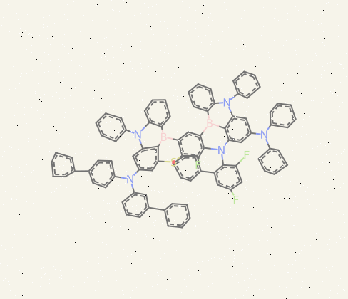 Fc1cc(F)c(N2c3cc(N(c4ccccc4)c4ccccc4)cc4c3B(c3ccccc3N4c3ccccc3)c3cc4c(c(F)c32)Sc2cc(N(c3ccc(-c5ccccc5)cc3)c3cccc(-c5ccccc5)c3)cc3c2B4c2ccccc2N3c2ccccc2)c(-c2ccccc2)c1